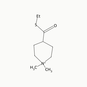 CCSC(=O)C1CC[N+](C)(C)CC1